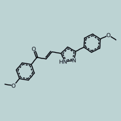 COc1ccc(C(=O)C=Cc2cc(-c3ccc(OC)cc3)n[nH]2)cc1